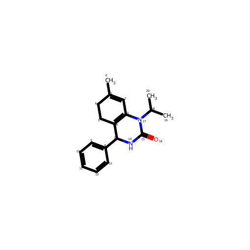 CC1=CC2=C(CC1)C(c1ccccc1)NC(=O)N2C(C)C